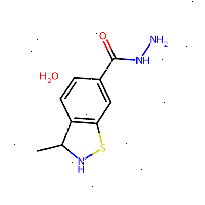 CC1NSc2cc(C(=O)NN)ccc21.O